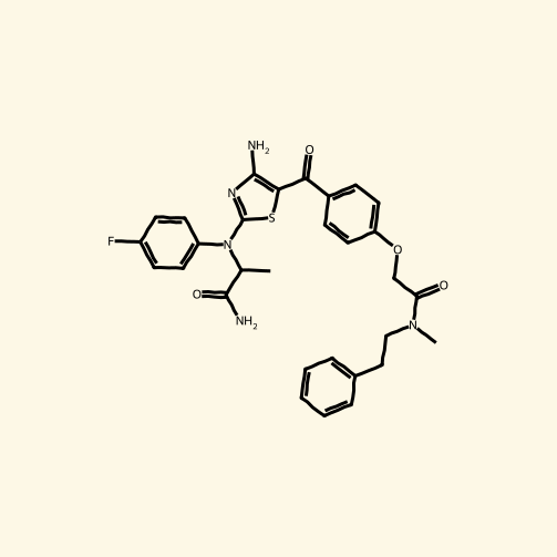 CC(C(N)=O)N(c1ccc(F)cc1)c1nc(N)c(C(=O)c2ccc(OCC(=O)N(C)CCc3ccccc3)cc2)s1